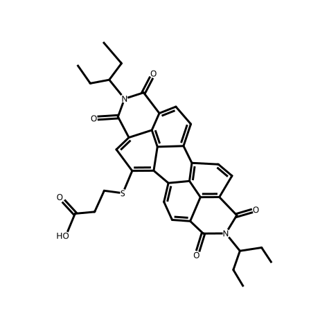 CCC(CC)N1C(=O)c2ccc3c4ccc5c6c(cc(SCCC(=O)O)c(c7ccc(c2c37)C1=O)c64)C(=O)N(C(CC)CC)C5=O